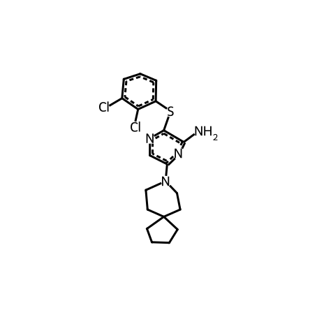 Nc1nc(N2CCC3(CCCC3)CC2)cnc1Sc1cccc(Cl)c1Cl